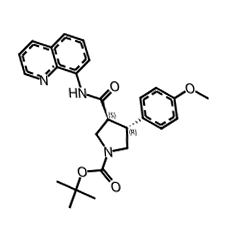 COc1ccc([C@@H]2CN(C(=O)OC(C)(C)C)C[C@H]2C(=O)Nc2cccc3cccnc23)cc1